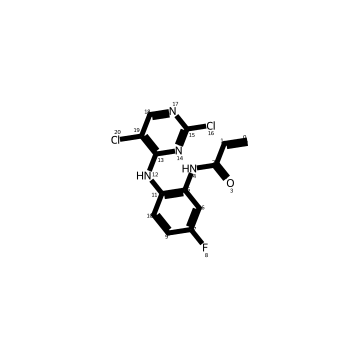 C=CC(=O)Nc1cc(F)ccc1Nc1nc(Cl)ncc1Cl